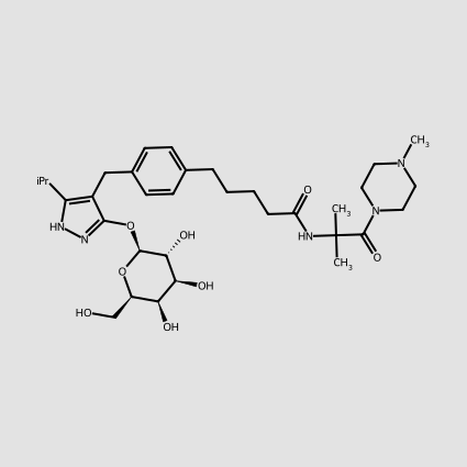 CC(C)c1[nH]nc(O[C@@H]2O[C@H](CO)[C@H](O)[C@H](O)[C@H]2O)c1Cc1ccc(CCCCC(=O)NC(C)(C)C(=O)N2CCN(C)CC2)cc1